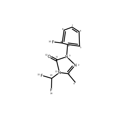 Cc1nn(-c2ccccc2F)c(=O)n1C(F)F